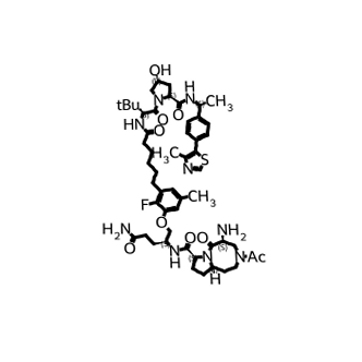 CC(=O)N1CC[C@H]2CC[C@@H](C(=O)N[C@@H](CCC(N)=O)COc3cc(C)cc(CCCCCC(=O)N[C@H](C(=O)N4C[C@H](O)C[C@H]4C(=O)N[C@@H](C)c4ccc(-c5scnc5C)cc4)C(C)(C)C)c3F)N2C(=O)[C@@H](N)C1